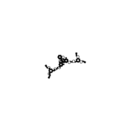 C#CCOC1CC(COCCOc2cc(C)c(C(=O)P(=O)(C(=O)c3c(C)cc(OCCOCC4CC(OCC#C)CC(OCC#C)C4)cc3C)c3ccccc3)c(C)c2)CC(OCC#C)C1